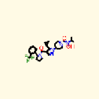 CC(C)N(O)C(=O)N1CCC(n2ncc(C(=O)N3CCCC3c3ccccc3C(F)(F)F)c2C2CC2)CC1